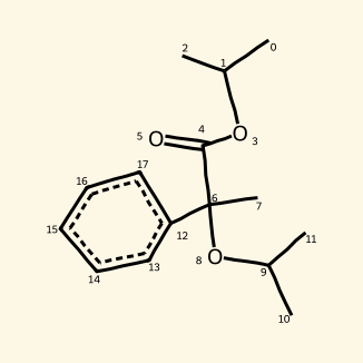 CC(C)OC(=O)C(C)(OC(C)C)c1ccccc1